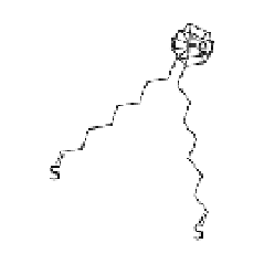 S=CCCCCCCC[C]12[CH]3[CH]4[CH]5[CH]1[Fe]45321678[CH]2[CH]1[CH]6[C]7(CCCCCCCC=S)[CH]28